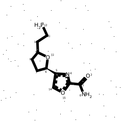 NC(=O)c1nc([C@H]2CCC(CCP)O2)co1